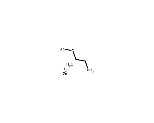 CC(=O)OCCN.O.O.[Zn]